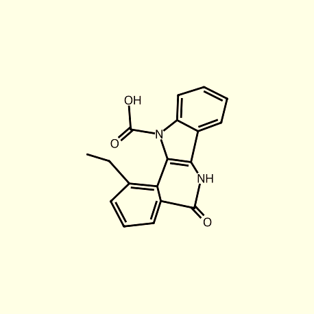 CCc1cccc2c(=O)[nH]c3c4ccccc4n(C(=O)O)c3c12